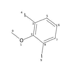 COc1c(I)c[c]cc1I